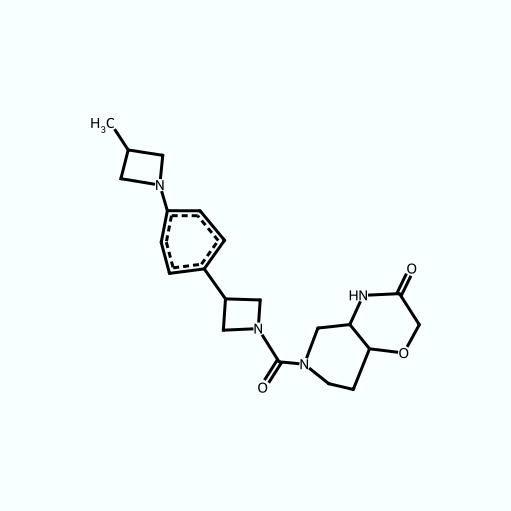 CC1CN(c2ccc(C3CN(C(=O)N4CCC5OCC(=O)NC5C4)C3)cc2)C1